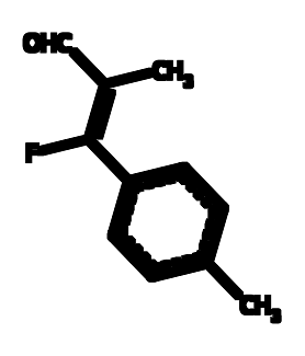 CC(C=O)=C(F)c1ccc(C)cc1